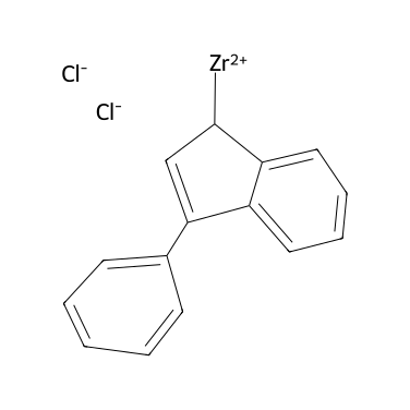 [Cl-].[Cl-].[Zr+2][CH]1C=C(c2ccccc2)c2ccccc21